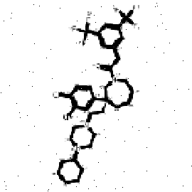 O=C(Cc1cc(C(F)(F)F)cc(C(F)(F)F)c1)N1CCCC[C@](CCN2CCN(C3CCCCC3)CC2)(c2ccc(Cl)c(Cl)c2)C1